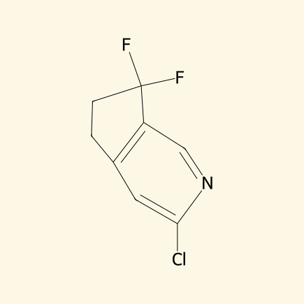 FC1(F)CCc2cc(Cl)ncc21